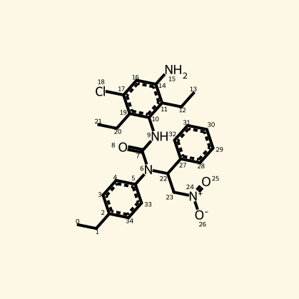 CCc1ccc(N(C(=O)Nc2c(CC)c(N)cc(Cl)c2CC)C(C[N+](=O)[O-])c2ccccc2)cc1